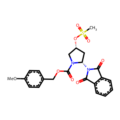 COc1ccc(COC(=O)N2C[C@H](OS(C)(=O)=O)C[C@@H]2N2C(=O)c3ccccc3C2=O)cc1